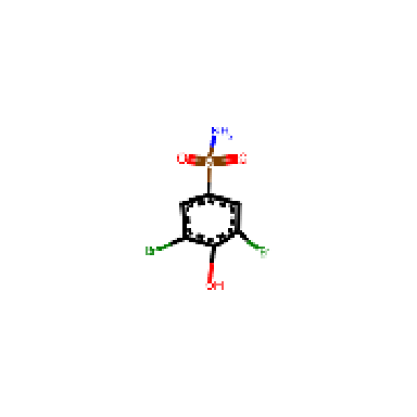 NS(=O)(=O)c1cc(Br)c(O)c(Br)c1